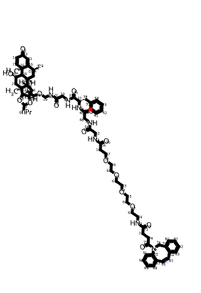 CCCC1O[C@@H]2C[C@H]3[C@@H]4C[C@H](F)C5=CC(=O)C=C[C@]5(C)C4[C@@H](O)C[C@]3(C)[C@]2(C(=O)COCNC(=O)CNC(=O)[C@H](Cc2ccccc2)NC(=O)CNC(=O)CNC(=O)CCOCCOCCOCCOCCNC(=O)CCC(=O)N2Cc3ccccc3/C=C\c3ccccc32)O1